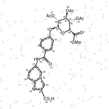 COC(=O)[C@H]1O[C@@H](Oc2ccc(C(=O)Nc3ccc4nc(C(=O)O)cn4c3)cc2)[C@H](OC(C)=O)[C@@H](OC(C)=O)[C@@H]1OC(C)=O